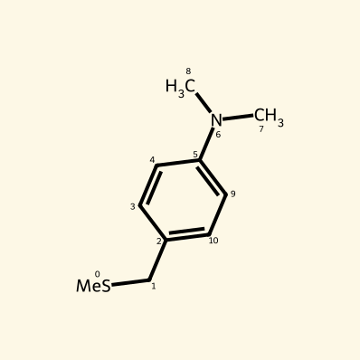 CSCc1ccc(N(C)C)cc1